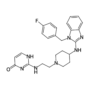 O=c1cc[nH]c(NCCN2CCC(Nc3nc4ccccc4n3Cc3ccc(F)cc3)CC2)n1